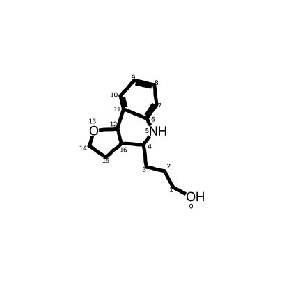 OCCCC1Nc2ccccc2C2OCCC12